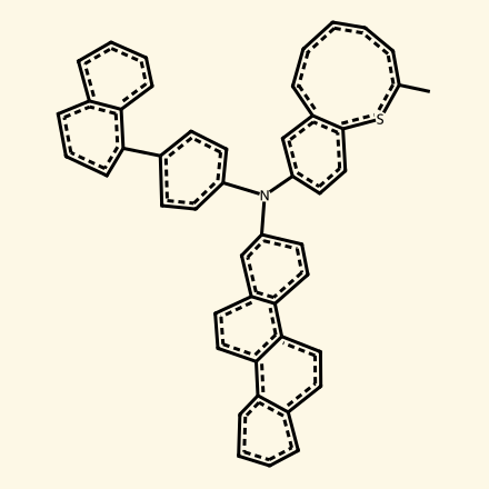 Cc1cccccc2cc(N(c3ccc(-c4cccc5ccccc45)cc3)c3ccc4c(ccc5c6ccccc6ccc45)c3)ccc2s1